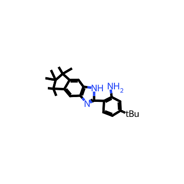 CC(C)(C)c1ccc(-c2nc3cc4c(cc3[nH]2)C(C)(C)C(C)(C)C4(C)C)c(N)c1